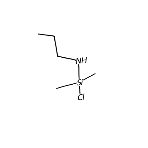 CCCN[Si](C)(C)Cl